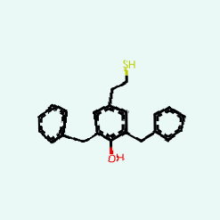 Oc1c(Cc2ccccc2)cc(CCS)cc1Cc1ccccc1